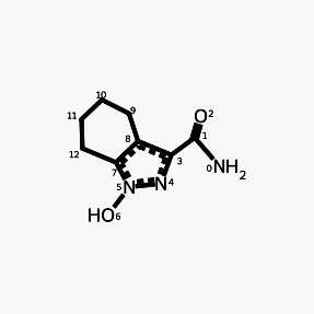 NC(=O)c1nn(O)c2c1CCCC2